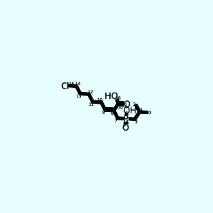 CC(C)CP(=O)(O)CC(=CCCCCCCl)C(=O)O